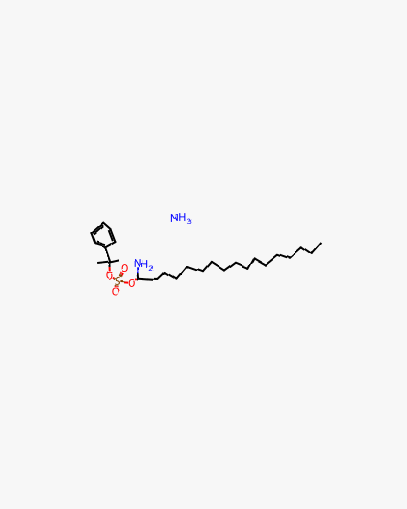 CCCCCCCCCCCCCCCCC(N)OS(=O)(=O)OC(C)(C)c1ccccc1.N